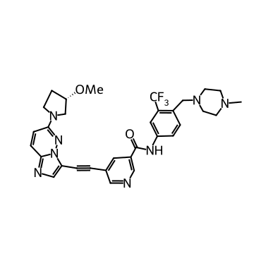 CO[C@H]1CCN(c2ccc3ncc(C#Cc4cncc(C(=O)Nc5ccc(CN6CCN(C)CC6)c(C(F)(F)F)c5)c4)n3n2)C1